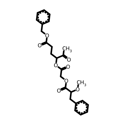 COC(Cc1ccccc1)C(=O)OCC(=O)OC(CCC(=O)OCc1ccccc1)C(C)=O